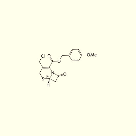 COc1ccc(COC(=O)C2=C(CCl)CS[C@H]3CC(=O)N23)cc1